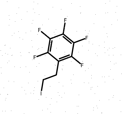 Fc1c(F)c(F)c(CCI)c(F)c1F